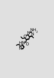 CCC(=O)/C(=C\c1c(C)nc(N)nc1C)C(=O)Nc1ccnn1CC